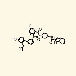 CN(C)Cc1cc(O)ccc1-c1cccc(-n2c(=O)n(C3CCC(NC(=O)c4cn5c(n4)CCCC5)CC3)c(=O)c3cc(F)cnc32)c1